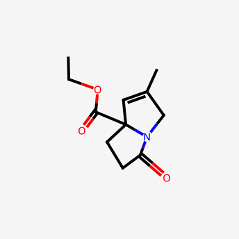 CCOC(=O)C12C=C(C)CN1C(=O)CC2